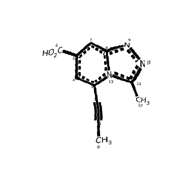 CC#Cc1cc(C(=O)O)cc2nnc(C)n12